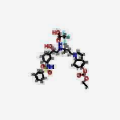 CCOC(=O)Oc1ccc2c(ccn2CCC(C)(C)NC[C@H](O)c2cccc(NS(=O)(=O)c3ccccc3)c2)c1.O=C(O)C(F)(F)F